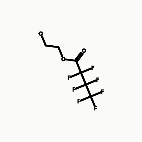 [O]CCOC(=O)C(F)(F)C(F)(F)C(F)(F)F